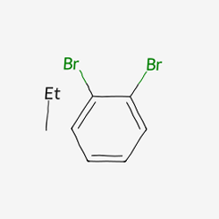 Brc1ccccc1Br.CCC